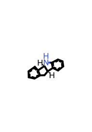 c1ccc2c(c1)C[C@@H]1c3ccccc3N[C@H]21